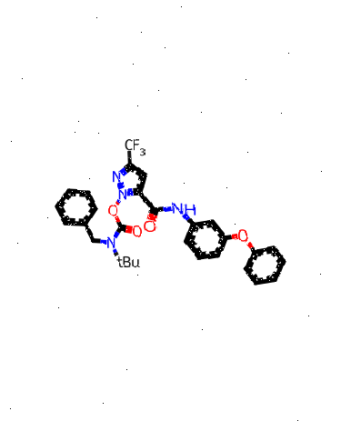 CC(C)(C)N(Cc1ccccc1)C(=O)On1nc(C(F)(F)F)cc1C(=O)Nc1cccc(Oc2ccccc2)c1